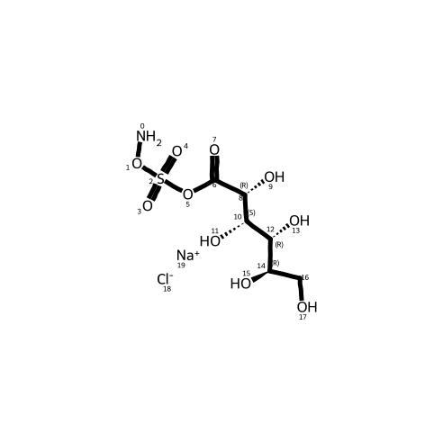 NOS(=O)(=O)OC(=O)[C@H](O)[C@@H](O)[C@H](O)[C@H](O)CO.[Cl-].[Na+]